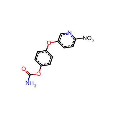 NC(=O)Oc1ccc(Oc2ccc([N+](=O)[O-])nc2)cc1